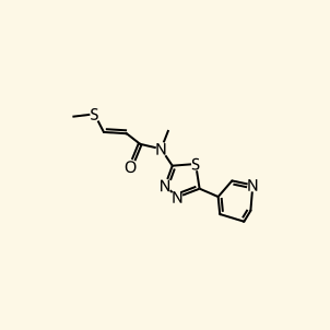 CSC=CC(=O)N(C)c1nnc(-c2cccnc2)s1